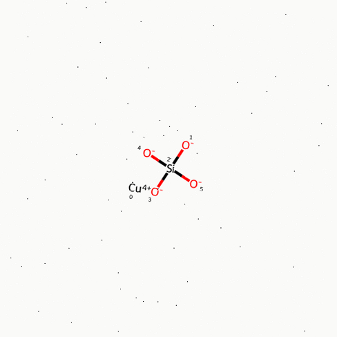 [Cu+4].[O-][Si]([O-])([O-])[O-]